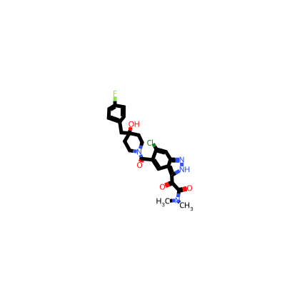 CN(C)C(=O)C(=O)c1[nH]nc2cc(Cl)c(C(=O)N3CCC(O)(Cc4ccc(F)cc4)CC3)cc12